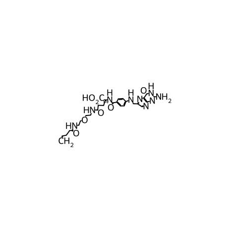 C=CCCC(=O)NCCOCCNC(=O)CC[C@H](NC(=O)c1ccc(NCc2cnc3nc(N)[nH]c(=O)c3n2)cc1)C(=O)O